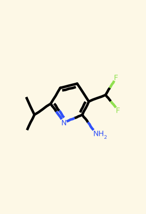 CC(C)c1ccc(C(F)F)c(N)n1